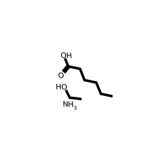 CCCCCC(=O)O.CCO.N